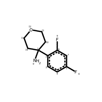 NC1(c2ccc(F)cc2F)CCOCC1